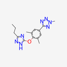 CCCc1n[nH]c(Oc2c(C)cc(-c3nnn(C)n3)cc2C)n1